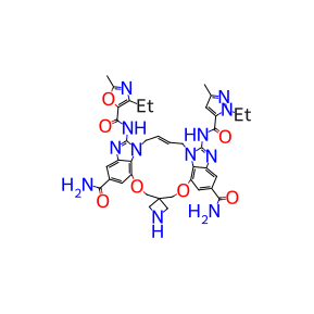 CCc1nc(C)oc1C(=O)Nc1nc2cc(C(N)=O)cc3c2n1C/C=C/Cn1c(NC(=O)c2cc(C)nn2CC)nc2cc(C(N)=O)cc(c21)OCC1(CNC1)CO3